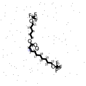 O=C(/C=C\C(=O)OCCCCCOC(F)(F)F)CCCCCCOC(F)(F)F